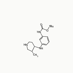 CC1CNCCC1Nc1cccc(NC(=O)OC(C)(C)C)c1